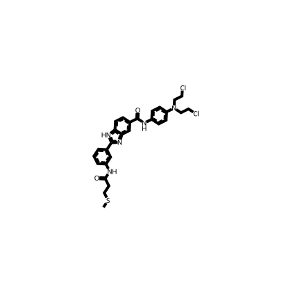 CSCCC(=O)Nc1cccc(-c2nc3cc(C(=O)Nc4ccc(N(CCCl)CCCl)cc4)ccc3[nH]2)c1